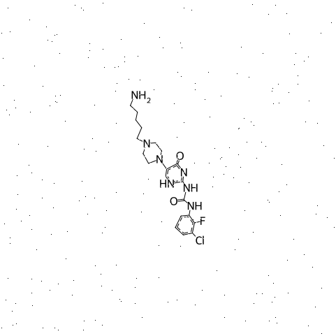 NCCCCCN1CCN(c2c[nH]c(NC(=O)Nc3cccc(Cl)c3F)nc2=O)CC1